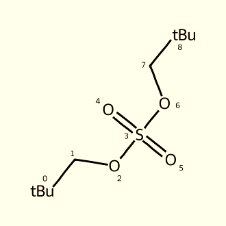 CC(C)(C)COS(=O)(=O)OCC(C)(C)C